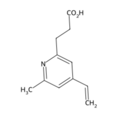 C=Cc1cc(C)nc(CCC(=O)O)c1